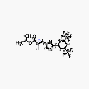 CC(C)OC(=O)/C(I)=C/n1cnc(-c2cc(C(F)(F)F)cc(S(F)(F)(F)(F)F)c2)n1